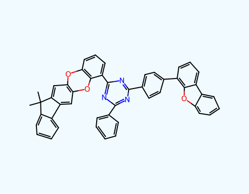 CC1(C)c2ccccc2-c2cc3c(cc21)Oc1cccc(-c2nc(-c4ccccc4)nc(-c4ccc(-c5cccc6c5oc5ccccc56)cc4)n2)c1O3